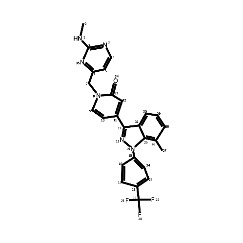 CNc1nccc(Cn2ccc(-c3nn(-c4ccc(C(F)(F)F)cc4)c4c(C)cccc34)cc2=O)n1